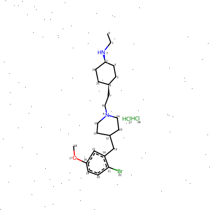 CCN[C@H]1CC[C@@H](CCN2CCC(Cc3cc(OC)ccc3Br)CC2)CC1.Cl.Cl